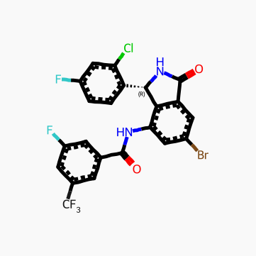 O=C(Nc1cc(Br)cc2c1[C@H](c1ccc(F)cc1Cl)NC2=O)c1cc(F)cc(C(F)(F)F)c1